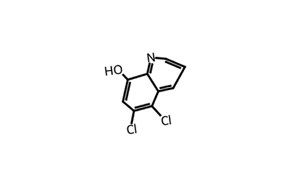 Oc1cc(Cl)c(Cl)c2cccnc12